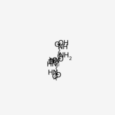 CC(C)(C)OC(=O)NCCC[C@@H](CNC(=O)C[C@@H](N)CCCNC(=O)O)NC(=O)OC(C)(C)C